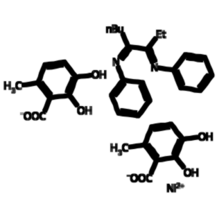 CCCCC(=Nc1ccccc1)C(CC)=Nc1ccccc1.Cc1ccc(O)c(O)c1C(=O)[O-].Cc1ccc(O)c(O)c1C(=O)[O-].[Ni+2]